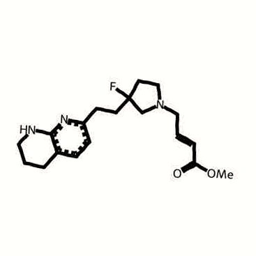 COC(=O)C=CCN1CCC(F)(CCc2ccc3c(n2)NCCC3)C1